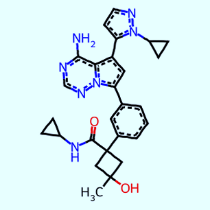 CC1(O)CC(C(=O)NC2CC2)(c2cccc(-c3cc(-c4ccnn4C4CC4)c4c(N)ncnn34)c2)C1